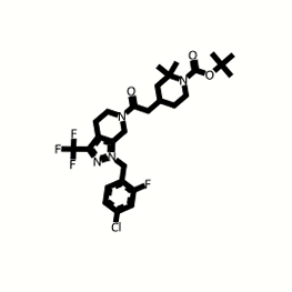 CC(C)(C)OC(=O)N1CCC(CC(=O)N2CCc3c(C(F)(F)F)nn(Cc4ccc(Cl)cc4F)c3C2)CC1(C)C